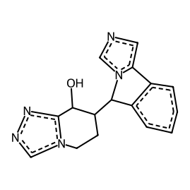 OC1c2nncn2CCC1C1c2ccccc2-c2cncn21